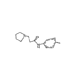 Cc1ccc(NC(=O)CCN2CCCC2)cc1